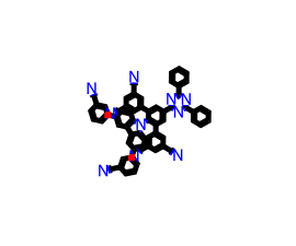 N#Cc1cccc(-c2ccc3c(c2)c2cc(-c4cccc(C#N)c4)ccc2n3-c2c(-c3cc(C#N)cc(C#N)c3)cc(-c3nc(-c4ccccc4)nc(-c4ccccc4)n3)cc2-c2cc(C#N)cc(C#N)c2)c1